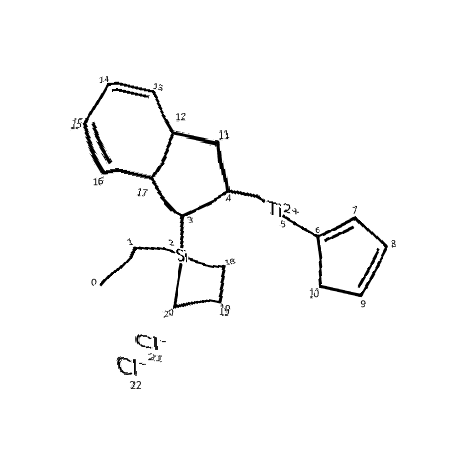 CC[Si]1(C2[CH]([Ti+2][C]3=CC=CC3)CC3C=CC=CC32)CCC1.[Cl-].[Cl-]